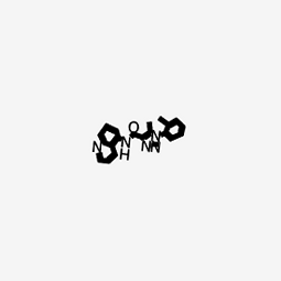 Cc1ccccc1-n1nnc(C(=O)Nc2cccc3ncccc23)c1C